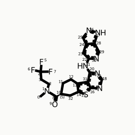 CN(CCC(F)(F)F)C(=O)[C@H]1CCc2c(sc3ncnc(Nc4cc5cn[nH]c5cn4)c23)C1